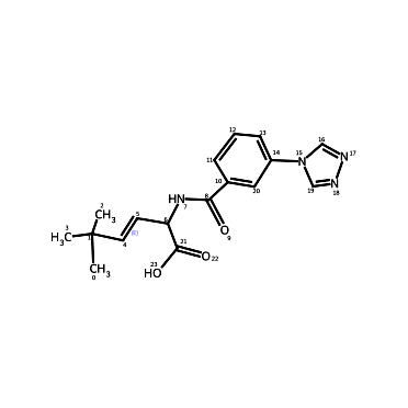 CC(C)(C)/C=C/C(NC(=O)c1cccc(-n2cnnc2)c1)C(=O)O